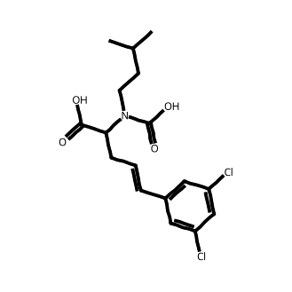 CC(C)CCN(C(=O)O)C(CC=Cc1cc(Cl)cc(Cl)c1)C(=O)O